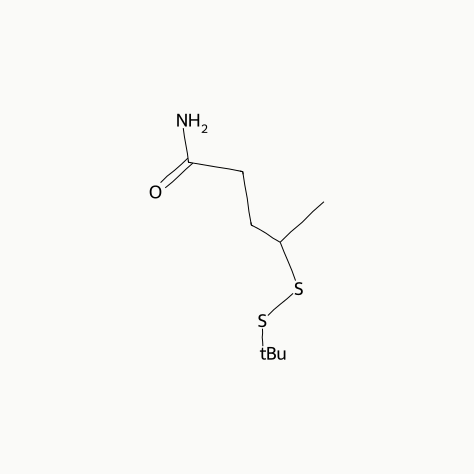 CC(CCC(N)=O)SSC(C)(C)C